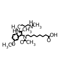 CCCCNC.COc1ccc2[nH]c(C)c(N(CCCCCCCC(=O)O)C(C)=O)c2c1